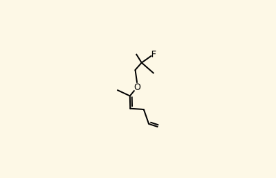 C=CCC=C(C)OCC(C)(C)F